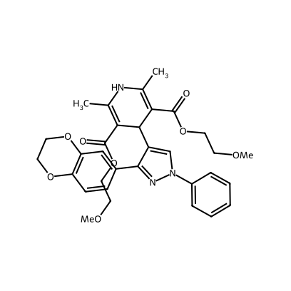 COCCOC(=O)C1=C(C)NC(C)=C(C(=O)OCCOC)C1c1cn(-c2ccccc2)nc1-c1ccc2c(c1)OCCO2